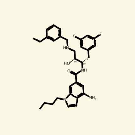 CCCCn1ccc2c(N)cc(C(=O)N[C@@H](Cc3cc(F)cc(F)c3)[C@H](O)CNCc3cccc(CC)c3)cc21